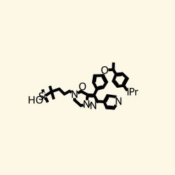 CC(C)c1ccc(C(C)Oc2ccc(-c3c(-c4ccncc4)nn4c3C(=O)N(CCCC(C)(C)[Si](C)(C)O)CC4)cc2)cc1